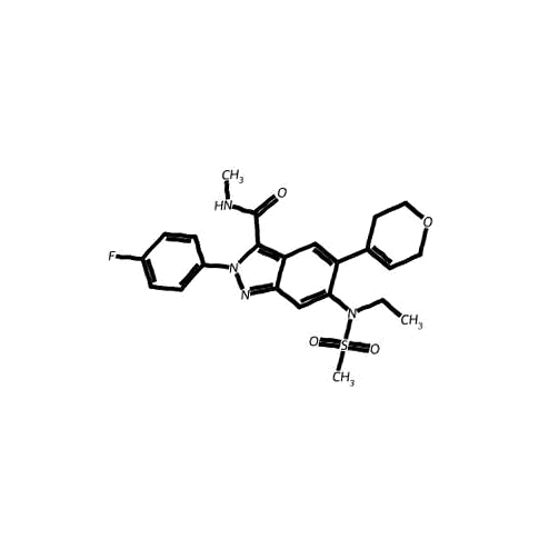 CCN(c1cc2nn(-c3ccc(F)cc3)c(C(=O)NC)c2cc1C1=CCOCC1)S(C)(=O)=O